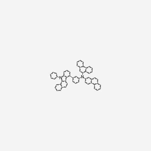 c1ccc(-n2c3cccc(-c4cccc(N(c5ccc6c(ccc7ccccc76)c5)c5cc6ccccc6c6ccccc56)c4)c3c3ccc4ccccc4c32)cc1